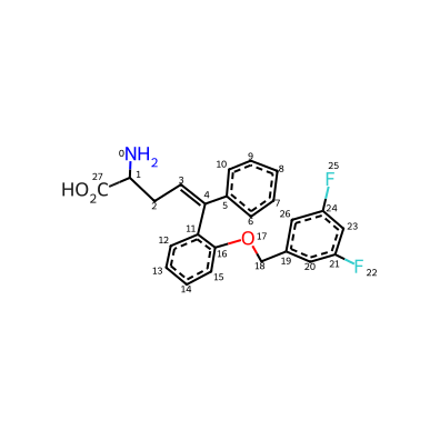 NC(CC=C(c1ccccc1)c1ccccc1OCc1cc(F)cc(F)c1)C(=O)O